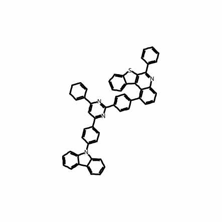 C1=CC(c2cc(-c3ccc(-n4c5ccccc5c5ccccc54)cc3)nc(-c3ccc(-c4cccc5nc(-c6ccccc6)c6sc7ccccc7c6c45)cc3)n2)=CCC1